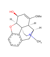 COC1=C[C@H](O)[C@@H]2Oc3cccc4c3[C@@]23CCN(C)[C@H](C4)[C@H]13